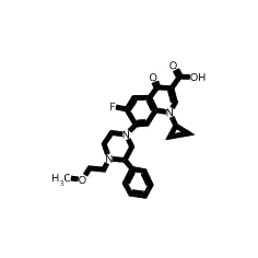 COCCN1CCN(c2cc3c(cc2F)c(=O)c(C(=O)O)cn3C2CC2)CC1c1ccccc1